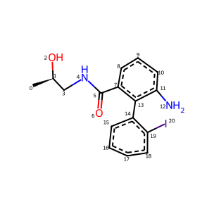 C[C@@H](O)CNC(=O)c1cccc(N)c1-c1ccccc1I